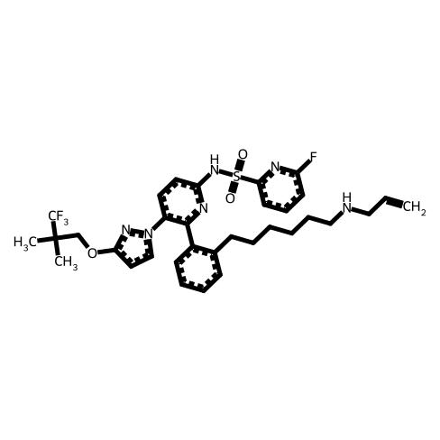 C=CCNCCCCCCc1ccccc1-c1nc(NS(=O)(=O)c2cccc(F)n2)ccc1-n1ccc(OCC(C)(C)C(F)(F)F)n1